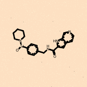 O=C(NCc1ccc([S+]([O-])N2CCCCC2)cc1)c1cc2ccncc2[nH]1